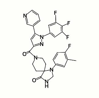 Cc1cc(N2CNC(=O)C23CCN(C(=O)c2cc(-c4cccnc4)n(-c4cc(F)c(F)c(F)c4)n2)CC3)ccc1F